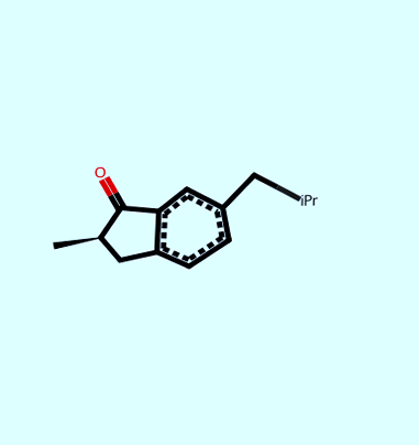 CC(C)Cc1ccc2c(c1)C(=O)[C@H](C)C2